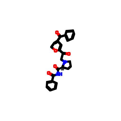 O=C(CN1CCC[C@H]1C(=O)NC(=O)c1ccccc1)C1=CC(C(=O)c2ccccc2)=CCO1